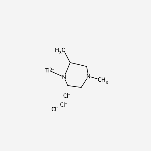 CC1CN(C)CC[N]1[Ti+3].[Cl-].[Cl-].[Cl-]